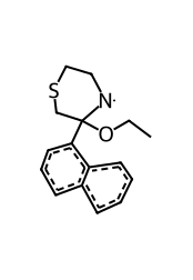 CCOC1(c2cccc3ccccc23)CSCC[N]1